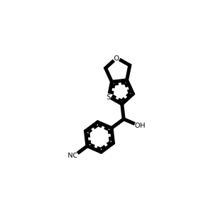 N#Cc1ccc(C(O)c2cc3c(s2)COC3)cc1